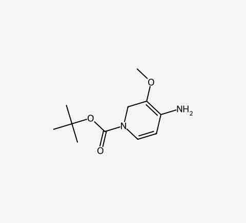 COC1=C(N)C=CN(C(=O)OC(C)(C)C)C1